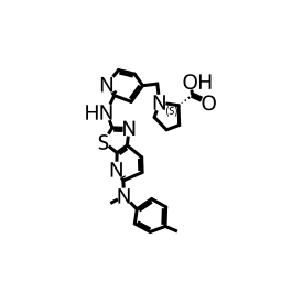 Cc1ccc(N(C)c2ccc3nc(Nc4cc(CN5CCC[C@H]5C(=O)O)ccn4)sc3n2)cc1